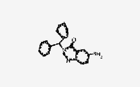 Bc1ccc2ncn(C(c3ccccc3)c3ccccc3)c(=O)c2c1